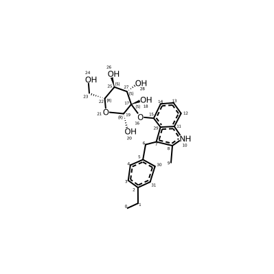 CCc1ccc(Cc2c(C)[nH]c3cccc(O[C@]4(O)[C@H](O)O[C@H](CO)[C@@H](O)[C@@H]4O)c23)cc1